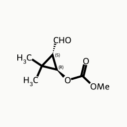 COC(=O)O[C@@H]1[C@@H](C=O)C1(C)C